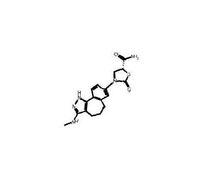 CNc1n[nH]c2c1CCCc1cc(N3C[C@H](C(N)=O)OC3=O)ccc1-2